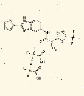 CN(C(=O)Nc1ccc2[nH]c(-c3cscn3)nc2c1)c1nnc(C(F)(F)F)s1.O=C(O)C(F)(F)F.O=C(O)C(F)(F)F